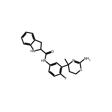 CC1(c2cc(NC(=O)C3Cc4ccccc4N3)ccc2F)CCSC(N)=N1